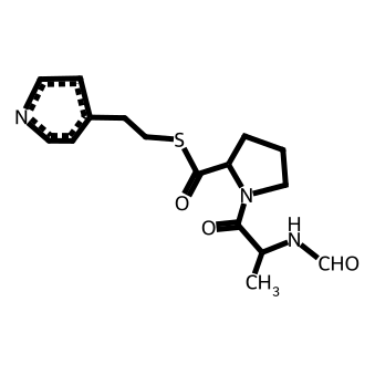 CC(NC=O)C(=O)N1CCCC1C(=O)SCCc1ccncc1